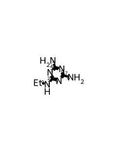 CCNc1nc(N)nc(N)n1